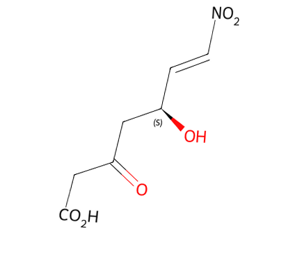 O=C(O)CC(=O)C[C@H](O)C=C[N+](=O)[O-]